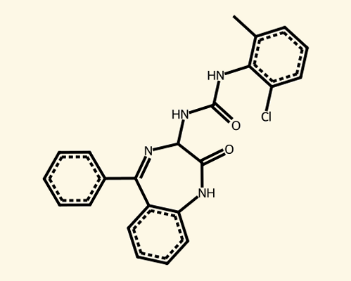 Cc1cccc(Cl)c1NC(=O)NC1N=C(c2ccccc2)c2ccccc2NC1=O